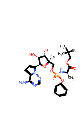 CCC(C)(C)COC(=O)[C@H](C)N[P@](=O)(OC[C@@]1(C#N)O[C@@H](c2ccc3c(N)ncnn23)[C@H](O)[C@@H]1O)Oc1ccccc1